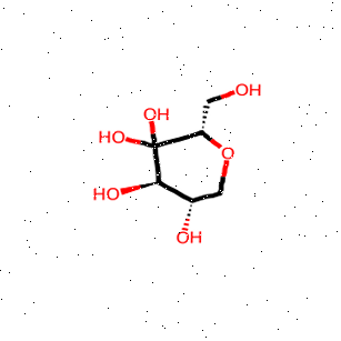 OC[C@@H]1OC[C@H](O)[C@@H](O)C1(O)O